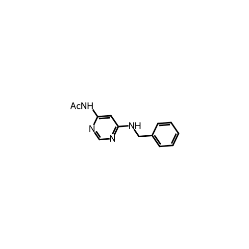 CC(=O)Nc1cc(NCc2ccccc2)ncn1